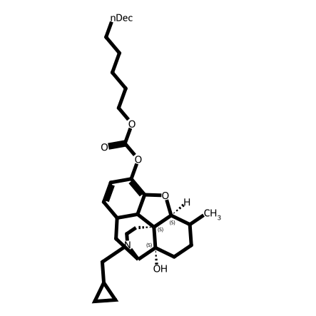 CCCCCCCCCCCCCCCOC(=O)OC1=C2O[C@H]3C(C)CC[C@@]4(O)C5CC(C=C1)C2[C@@]34CCN5CC1CC1